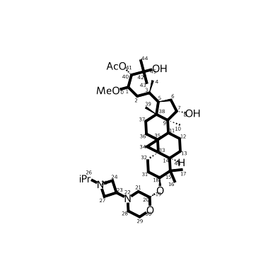 COC(C[C@@H](C)[C@H]1C[C@H](O)[C@@]2(C)C3CC[C@H]4C(C)(C)[C@@H](O[C@H]5CN(C6CN(C(C)C)C6)CCO5)CC[C@@]45CC35CC[C@]12C)[C@H](OC(C)=O)C(C)(C)O